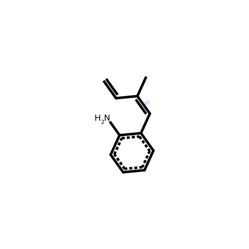 C=C/C(C)=C\c1ccccc1N